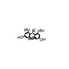 CCCCc1cc(O)cc(C(C)(C)C)c1[S+]([O-])c1c(CCCC)cc(O)cc1C(C)(C)C